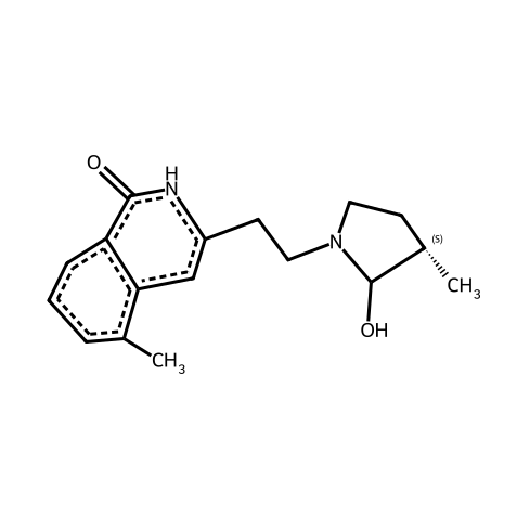 Cc1cccc2c(=O)[nH]c(CCN3CC[C@H](C)C3O)cc12